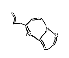 O=[C]c1ccn2nccc2n1